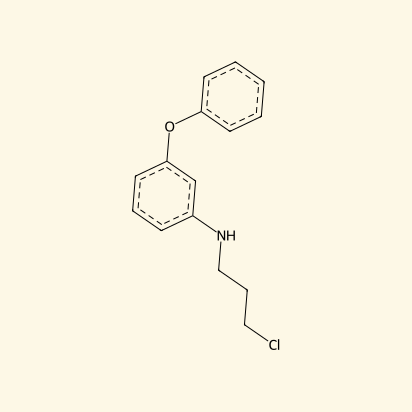 ClCCCNc1cccc(Oc2ccccc2)c1